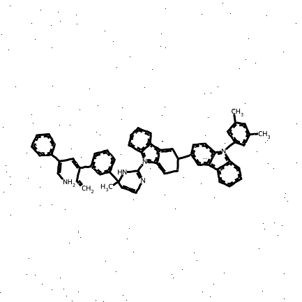 C=C/C(=C\C(=C/N)c1ccccc1)c1cccc(C2(C)C=CN=C(n3c4c(c5ccccc53)=CC(c3ccc5c(c3)c3ccccc3n5-c3cc(C)cc(C)c3)CC=4)N2)c1